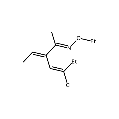 C/C=C(\C=C(\Cl)CC)C(C)=NOCC